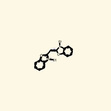 CCN1/C(=C/c2oc3ccccc3[n+]2CC)Oc2ccccc21